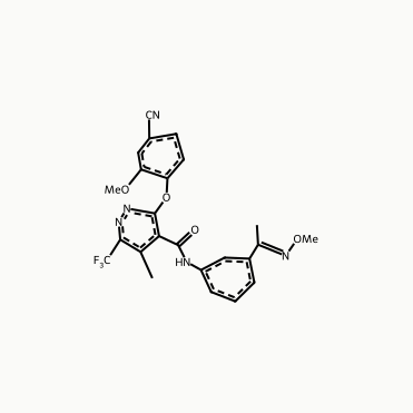 CO/N=C(\C)c1cccc(NC(=O)c2c(Oc3ccc(C#N)cc3OC)nnc(C(F)(F)F)c2C)c1